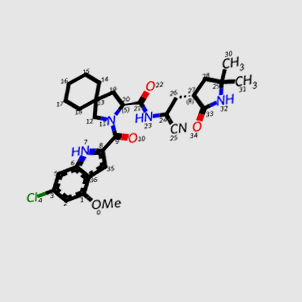 COc1cc(Cl)cc2[nH]c(C(=O)N3CC4(CCCCC4)C[C@H]3C(=O)NC(C#N)C[C@@H]3CC(C)(C)NC3=O)cc12